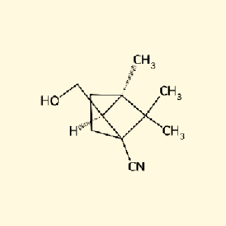 CC1(C)C2(C#N)CC[C@]1(C)[C@@H]2CO